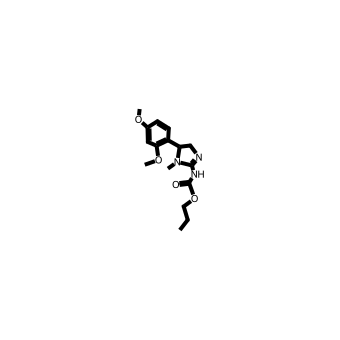 CCCOC(=O)NC1=NCC(c2ccc(OC)cc2OC)N1C